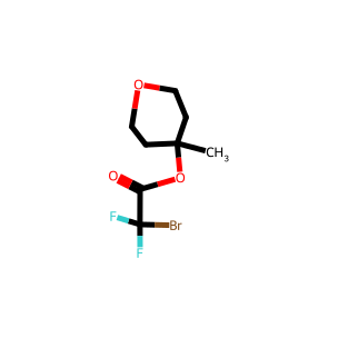 CC1(OC(=O)C(F)(F)Br)CCOCC1